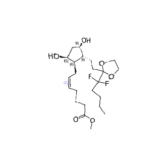 CCCCC(F)(F)C1(CC[C@@H]2[C@@H](C/C=C\CCCC(=O)OC)[C@@H](O)C[C@H]2O)OCCO1